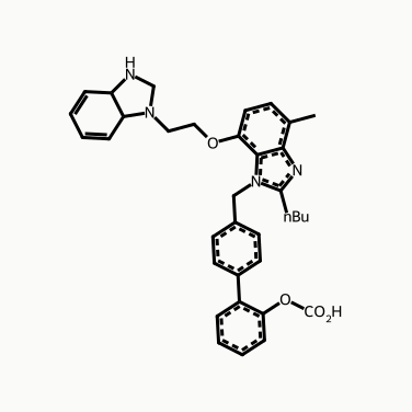 CCCCc1nc2c(C)ccc(OCCN3CNC4C=CC=CC43)c2n1Cc1ccc(-c2ccccc2OC(=O)O)cc1